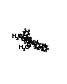 COc1cnc(-c2ccccc2C(C)C)nc1NCc1ccc(-c2ccccn2)cc1